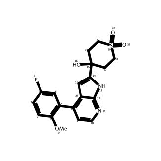 COc1ccc(F)cc1-c1ccnc2[nH]c(C3(O)CCS(=O)(=O)CC3)cc12